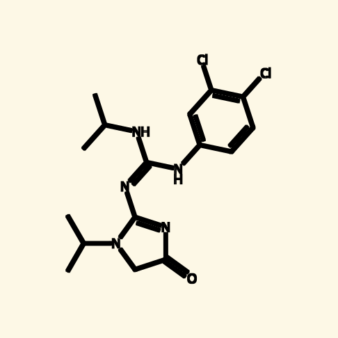 CC(C)N/C(=N/C1=NC(=O)CN1C(C)C)Nc1ccc(Cl)c(Cl)c1